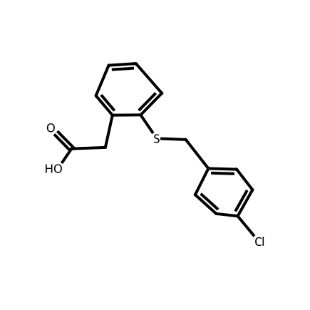 O=C(O)Cc1ccccc1SCc1ccc(Cl)cc1